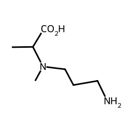 CC(C(=O)O)N(C)CCCN